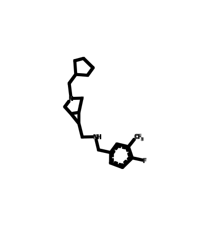 Fc1ccc(CNCC2C3CN(CC4CCCC4)CC23)cc1C(F)(F)F